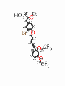 CCO[C@@H](Cc1ccc(OCC=CC#CC2(OCC(F)(F)F)C=CC=C(OCC(F)(F)F)C2)c(Br)c1)C(=O)O